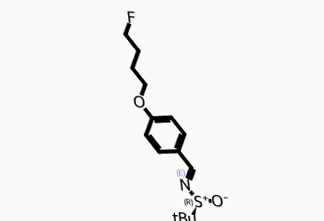 CC(C)(C)[S@+]([O-])/N=C/c1ccc(OCCCCF)cc1